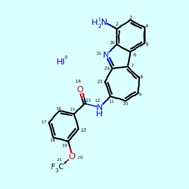 I.Nc1cccc2c3cccc(NC(=O)c4cccc(OC(F)(F)F)c4)cc-3nc12